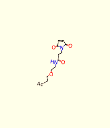 CC(=O)CCOCCNC(=O)CCN1C(=O)C=CC1=O